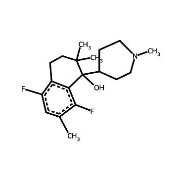 Cc1cc(F)c2c(c1F)C(O)(C1CCN(C)CC1)C(C)(C)CC2